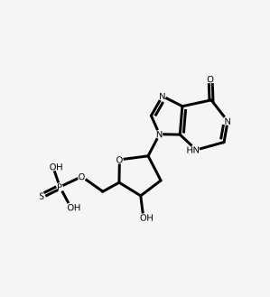 O=c1nc[nH]c2c1ncn2C1CC(O)C(COP(O)(O)=S)O1